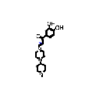 CN1CCC(N2CCN(/C=C/C(=O)c3ccc(O)c(O)c3)CC2)CC1